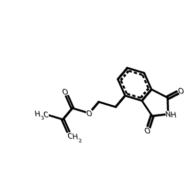 C=C(C)C(=O)OCCc1cccc2c1C(=O)NC2=O